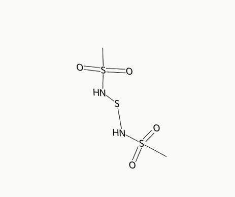 CS(=O)(=O)NSNS(C)(=O)=O